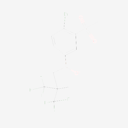 CC(C[S+]([O-])c1ccc(Br)c(S(C)(=O)=O)c1)(C(F)(F)F)C(F)(F)F